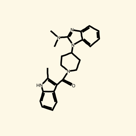 Cc1[nH]c2ccccc2c1C(=O)N1CCC(n2c(N(C)C)nc3ccccc32)CC1